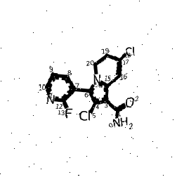 NC(=O)c1c(Cl)c(-c2cccnc2F)n2c1C=C(Cl)CC2